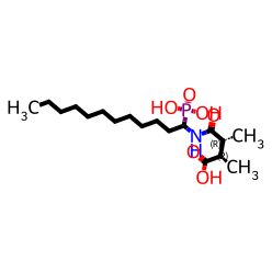 CCCCCCCCCCCC(NC(=O)[C@H](C)[C@@H](C)C(=O)O)P(=O)(O)O